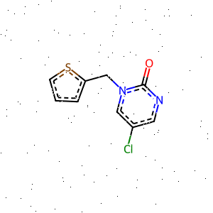 O=c1ncc(Cl)cn1Cc1cccs1